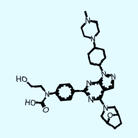 CN1CCN(C2CCC(n3ncc4c(N5CC6CCC(C5)O6)nc(-c5ccc(N(CCO)C(=O)O)cc5)nc43)CC2)CC1